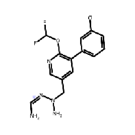 N/C=N\N(N)Cc1cnc(OC(F)F)c(-c2cccc(Cl)c2)c1